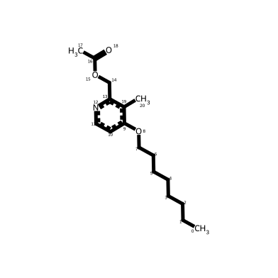 CCCCCCCCOc1ccnc(COC(C)=O)c1C